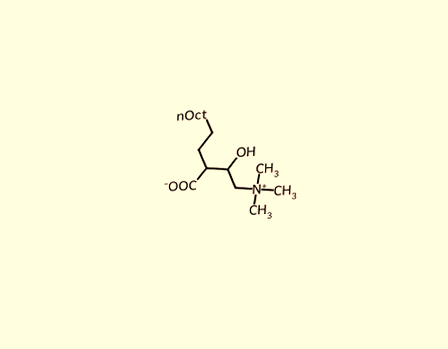 CCCCCCCCCCC(C(=O)[O-])C(O)C[N+](C)(C)C